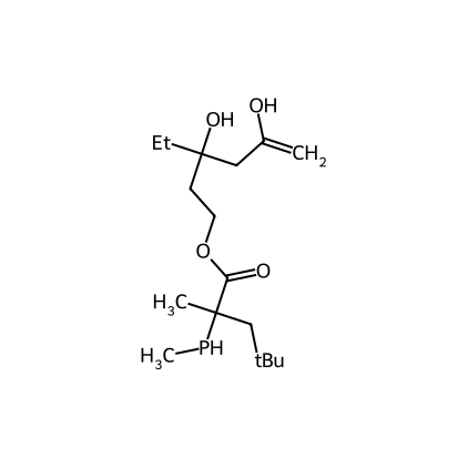 C=C(O)CC(O)(CC)CCOC(=O)C(C)(CC(C)(C)C)PC